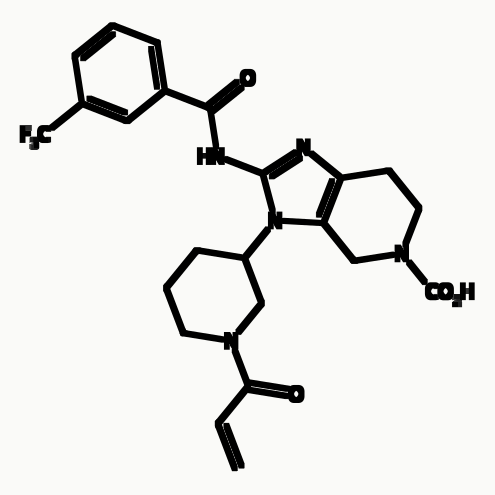 C=CC(=O)N1CCCC(n2c(NC(=O)c3cccc(C(F)(F)F)c3)nc3c2CN(C(=O)O)CC3)C1